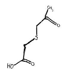 CC(=O)CSCC(=O)O